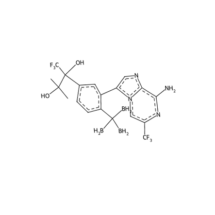 BC(B)(B)c1ccc(C(O)(C(C)(C)O)C(F)(F)F)cc1-c1cnc2c(N)nc(C(F)(F)F)cn12